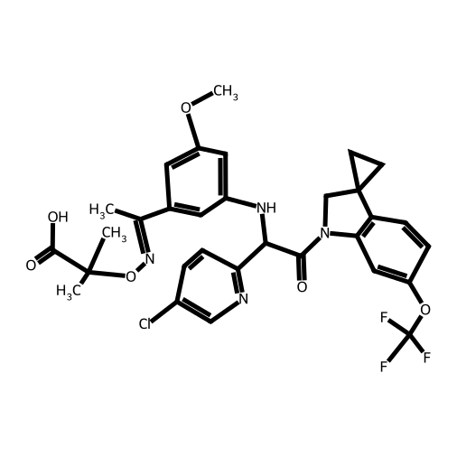 COc1cc(NC(C(=O)N2CC3(CC3)c3ccc(OC(F)(F)F)cc32)c2ccc(Cl)cn2)cc(C(C)=NOC(C)(C)C(=O)O)c1